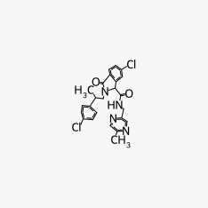 Cc1cnc(CNC(=O)C2c3cc(Cl)ccc3C(=O)N2CC(C)c2ccc(Cl)cc2)cn1